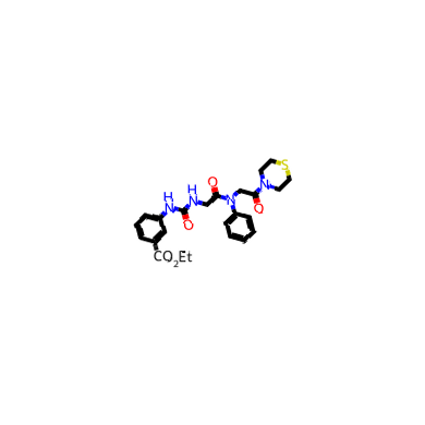 CCOC(=O)c1cccc(NC(=O)NCC(=O)N(CC(=O)N2CCSCC2)c2ccccc2)c1